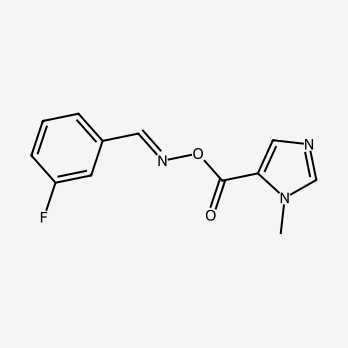 Cn1cncc1C(=O)ON=Cc1cccc(F)c1